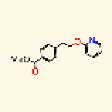 COC(=O)c1ccc(CCOc2ccccn2)cc1